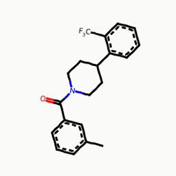 Cc1cccc(C(=O)N2CCC(c3ccccc3C(F)(F)F)CC2)c1